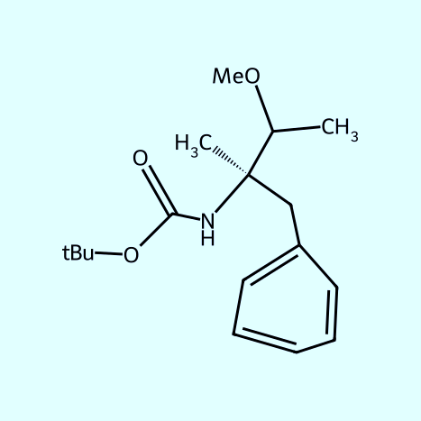 COC(C)[C@@](C)(Cc1ccccc1)NC(=O)OC(C)(C)C